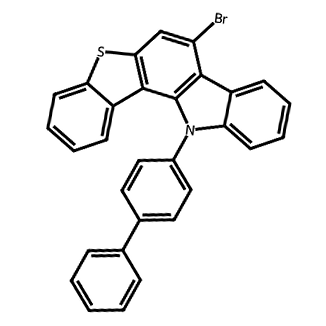 Brc1cc2sc3ccccc3c2c2c1c1ccccc1n2-c1ccc(-c2ccccc2)cc1